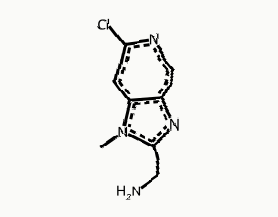 Cn1c(CN)nc2cnc(Cl)cc21